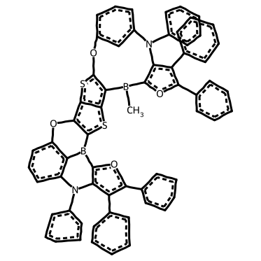 CB1c2oc(-c3ccccc3)c(-c3ccccc3)c2N(c2ccccc2)c2cccc(c2)Oc2sc3c4c(sc3c21)B1c2oc(-c3ccccc3)c(-c3ccccc3)c2N(c2ccccc2)c2cccc(c21)O4